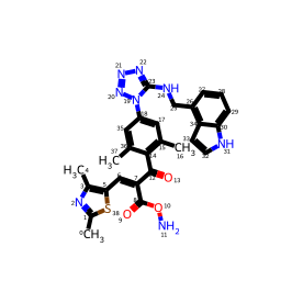 Cc1nc(C)c(C=C(C(=O)ON)C(=O)c2c(C)cc(-n3nnnc3NCc3cccc4[nH]ccc34)cc2C)s1